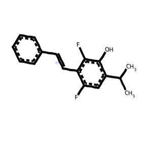 CC(C)c1cc(F)c(/C=C/c2ccccc2)c(F)c1O